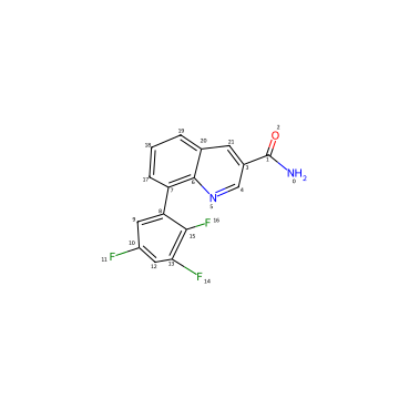 NC(=O)c1cnc2c(-c3cc(F)cc(F)c3F)cccc2c1